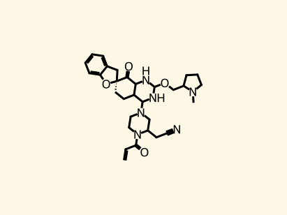 C=CC(=O)N1CCN(C2NC(OCC3CCCN3C)NC3C(=O)[C@]4(CCC32)Cc2ccccc2O4)CC1CC#N